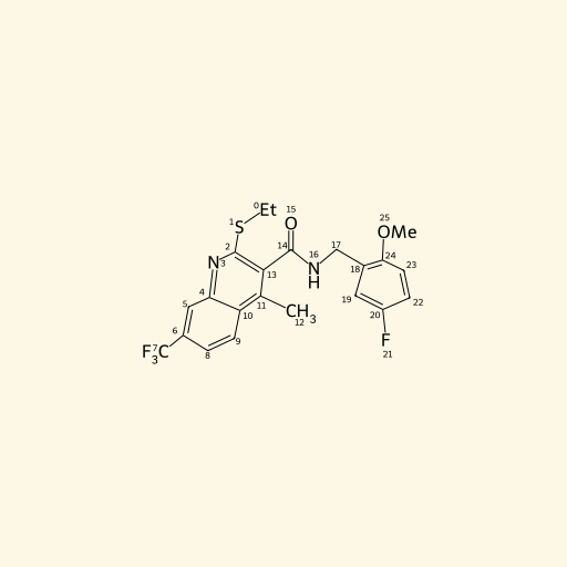 CCSc1nc2cc(C(F)(F)F)ccc2c(C)c1C(=O)NCc1cc(F)ccc1OC